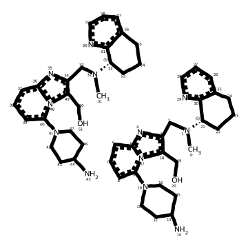 CN(Cc1nc2cccc(N3CCC(N)CC3)n2c1CO)[C@H]1CCCc2cccnc21.CN(Cc1nc2cccc(N3CCC(N)CC3)n2c1CO)[C@H]1CCCc2cccnc21